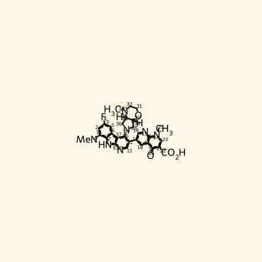 CNc1cc(F)cc2c1[nH]c1ncc(-c3cnc4c(c3)c(=O)c(C(=O)O)cn4C)c(N3C[C@H]4OCCN(C)[C@H]4C3)c12